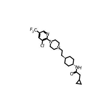 O=C(CC1CC1)N[C@H]1CC[C@H](CCN2CCN(c3ncc(C(F)(F)F)cc3Cl)CC2)CC1